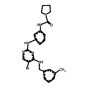 Cc1cccc(CNc2nc(Nc3cccc(NC(=O)N4CCCC4)c3)ncc2Br)c1